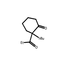 CCCCC1(C(=O)CC)CCCCC1=O